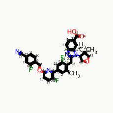 Cc1cc(-c2nc(OCc3ccc(C#N)cc3F)ccc2F)cc(F)c1Cc1nc2ccc(C(=O)O)cc2n1[C@@H]1COCC1(C)C